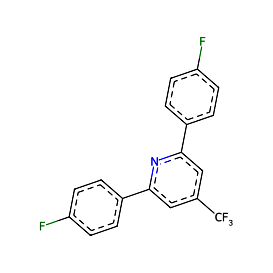 Fc1ccc(-c2cc(C(F)(F)F)cc(-c3ccc(F)cc3)n2)cc1